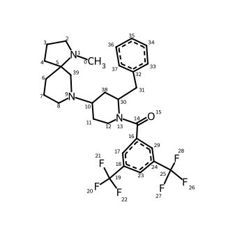 CN1CCCC12CCCN(C1CCN(C(=O)c3cc(C(F)(F)F)cc(C(F)(F)F)c3)C(Cc3ccccc3)C1)C2